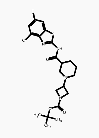 CC(C)(C)OC(=O)N1CC(N2CCCC(C(=O)Nc3nc4c(Cl)cc(F)cc4s3)C2)C1